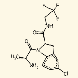 C[C@H](N)C(=O)N1c2ccc(Cl)cc2C[C@@H]1C(=O)NCC(F)(F)F